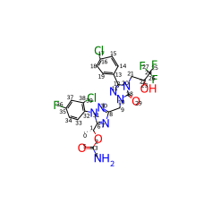 C[C@@H](OC(N)=O)c1nc(Cn2nc(-c3ccc(Cl)cc3)n(C[C@H](O)C(F)(F)F)c2=O)nn1-c1ccc(F)cc1Cl